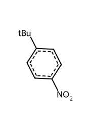 CC(C)(C)c1ccc([N+](=O)[O-])cc1